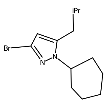 CC(C)Cc1cc(Br)nn1C1CCCCC1